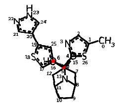 Cc1cnc(C2(O)CC3CCC(C2)N3C(=O)c2csc(-c3cn[nH]c3)c2)s1